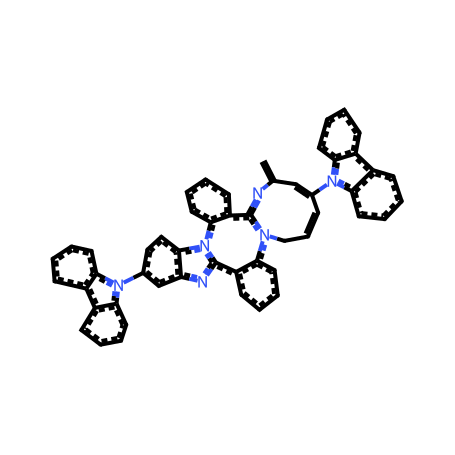 C=C1/C=C(n2c3ccccc3c3ccccc32)\C=C/Cn2/c(c3ccccc3n3c4ccc(-n5c6ccccc6c6ccccc65)cc4nc3c3ccccc32)=N\1